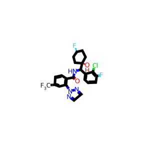 O=C(NC(c1cccc(F)c1Cl)[C@]1(O)CC[C@@H](F)CC1)c1ccc(C(F)(F)F)cc1-n1nccn1